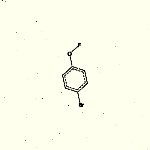 FOc1ccc(Br)cc1